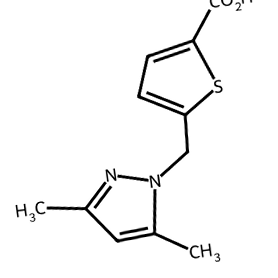 Cc1cc(C)n(Cc2ccc(C(=O)O)s2)n1